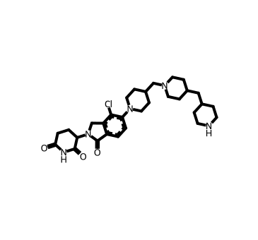 O=C1CCC(N2Cc3c(ccc(N4CCC(CN5CCC(CC6CCNCC6)CC5)CC4)c3Cl)C2=O)C(=O)N1